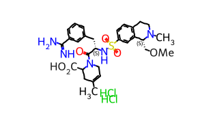 COC[C@@H]1c2cc(S(=O)(=O)N[C@@H](Cc3cccc(C(=N)N)c3)C(=O)N3CC=C(C)CC3C(=O)O)ccc2CCN1C.Cl.Cl